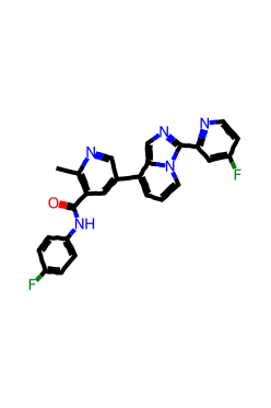 Cc1ncc(-c2cccn3c(-c4cc(F)ccn4)ncc23)cc1C(=O)Nc1ccc(F)cc1